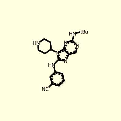 CC(C)(C)Nc1ncc2nc(Nc3cccc(C#N)c3)n(C3CCNCC3)c2n1